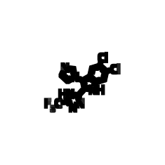 FC(F)(F)c1nnc(-c2[nH]c3cc(Cl)c(Cl)cc3c2-n2ccnc2)[nH]1